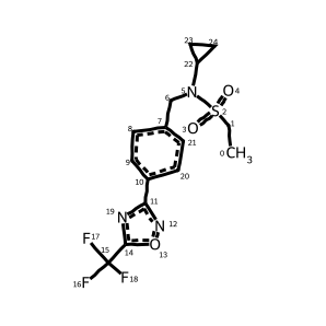 CCS(=O)(=O)N(Cc1ccc(-c2noc(C(F)(F)F)n2)cc1)C1CC1